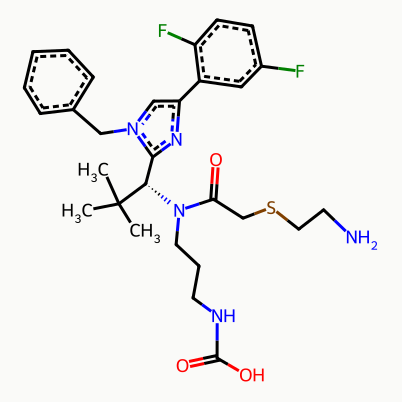 CC(C)(C)[C@H](c1nc(-c2cc(F)ccc2F)cn1Cc1ccccc1)N(CCCNC(=O)O)C(=O)CSCCN